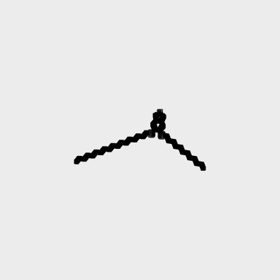 CCCCCCCCCCCCCCCCCCOc1cc2cscc2cc1OCCCCCCCCCCCC